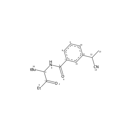 CCC(=O)C(NC(=O)c1cccc(C(C)C#N)c1)C(C)(C)C